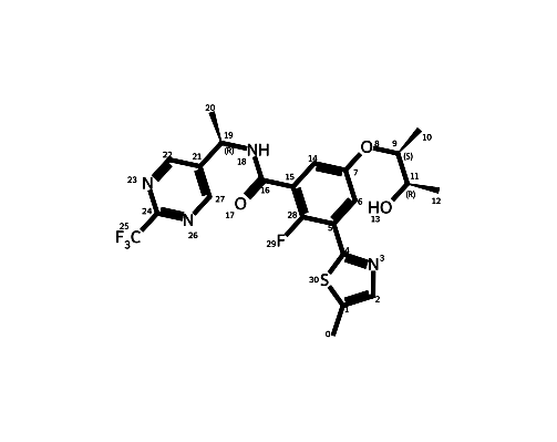 Cc1cnc(-c2cc(O[C@@H](C)[C@@H](C)O)cc(C(=O)N[C@H](C)c3cnc(C(F)(F)F)nc3)c2F)s1